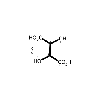 O=C(O)C(O)C(O)C(=O)O.[K]